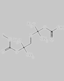 CC(C)(CSC(C)(C)SC(=O)O)SC(=O)OI